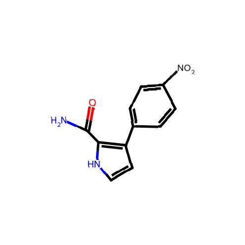 NC(=O)c1[nH]ccc1-c1ccc([N+](=O)[O-])cc1